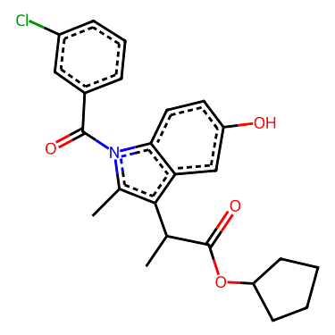 Cc1c(C(C)C(=O)OC2CCCC2)c2cc(O)ccc2n1C(=O)c1cccc(Cl)c1